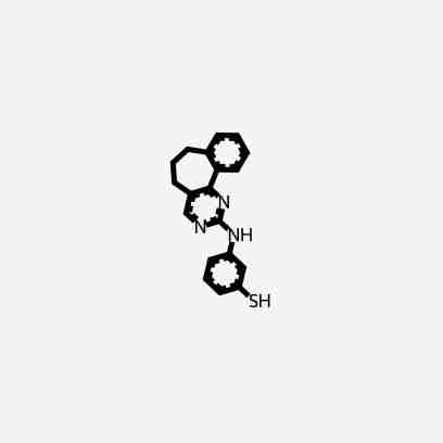 Sc1cccc(Nc2ncc3c(n2)-c2ccccc2CCC3)c1